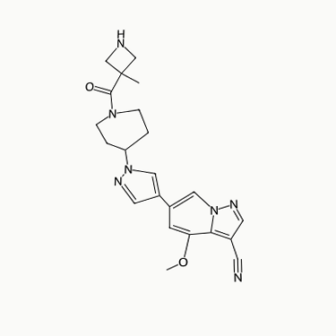 COc1cc(-c2cnn(C3CCN(C(=O)C4(C)CNC4)CC3)c2)cn2ncc(C#N)c12